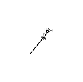 CCCCCCCCCCCCCCCCCCNC(=O)C(=O)NCCCc1ccc(O)c(O)c1